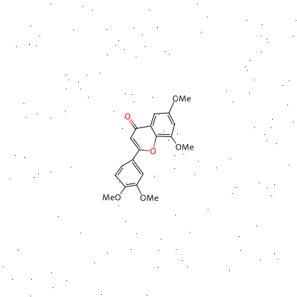 COc1cc(OC)c2oc(-c3ccc(OC)c(OC)c3)cc(=O)c2c1